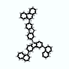 c1ccc2c(-c3ccc4c(c3)c3cc(-c5cccc6ccccc56)ccc3n4-c3ccc4c(c3)Cc3cc(-c5cc6ccccc6c6ccccc56)ccc3-4)cccc2c1